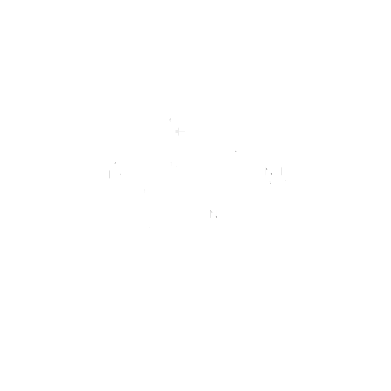 CC1=CC(O)C(O)=C(CN)N1C